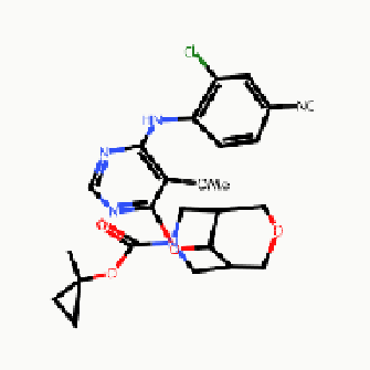 [C-]#[N+]c1ccc(Nc2ncnc(OC3C4COCC3CN(C(=O)OC3(C)CC3)C4)c2OC)c(Cl)c1